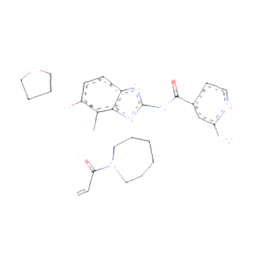 C=CC(=O)N1CCCC[C@@H](n2c(NC(=O)c3ccnc(OC)c3)nc3ccc(O[C@@H]4CCOC4)c(Cl)c32)C1